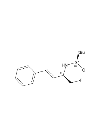 CC(C)(C)[S@@+]([O-])N[C@H](C=Cc1ccccc1)CF